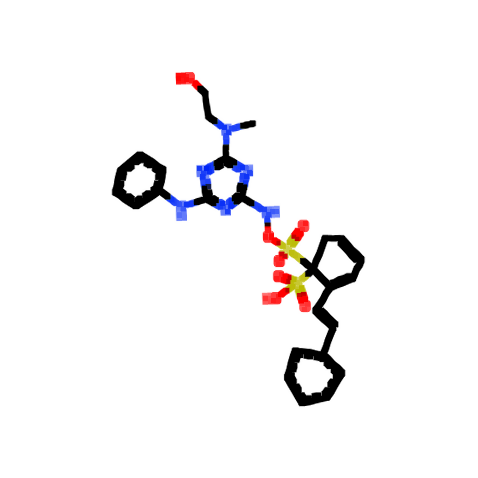 CN(CCO)c1nc(NOS(=O)(=O)C2(S(=O)(=O)O)CC=CC=C2C=Cc2ccccc2)nc(Nc2ccccc2)n1